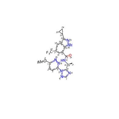 COc1ccc(-n2ncnc2[C@H](C)NC(=O)c2cc(C(F)(F)F)cc3c(C4CC4)n[nH]c23)nn1